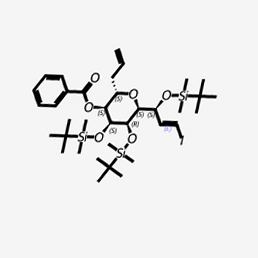 C=CC[C@@H]1O[C@@H]([C@H](/C=C/I)O[Si](C)(C)C(C)(C)C)[C@@H](O[Si](C)(C)C(C)(C)C)[C@@H](O[Si](C)(C)C(C)(C)C)[C@H]1OC(=O)c1ccccc1